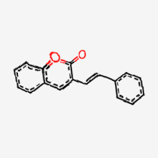 O=c1oc2ccccc2cc1/C=C/c1ccccc1